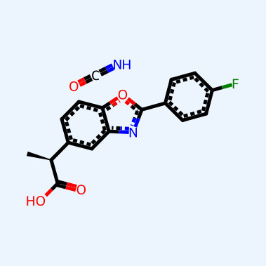 C[C@H](C(=O)O)c1ccc2oc(-c3ccc(F)cc3)nc2c1.N=C=O